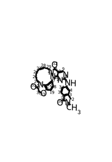 CN1Cc2cc(Nc3ncc4c(=O)n5n(c4n3)-c3ccc4c(c3)N(CCC/C=C\C5)C(=O)CO4)ccc2C1=O